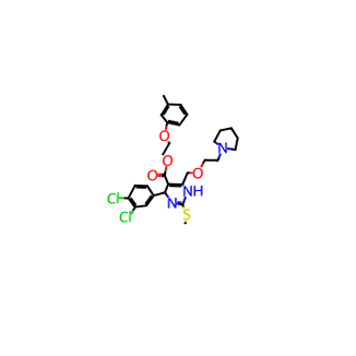 CSC1=NC(c2ccc(Cl)c(Cl)c2)C(C(=O)OCCOc2cccc(C)c2)=C(COCCN2CCCCC2)N1